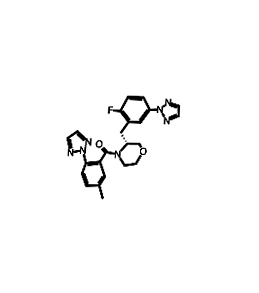 Cc1ccc(-n2nccn2)c(C(=O)N2CCOC[C@H]2Cc2cc(-n3nccn3)ccc2F)c1